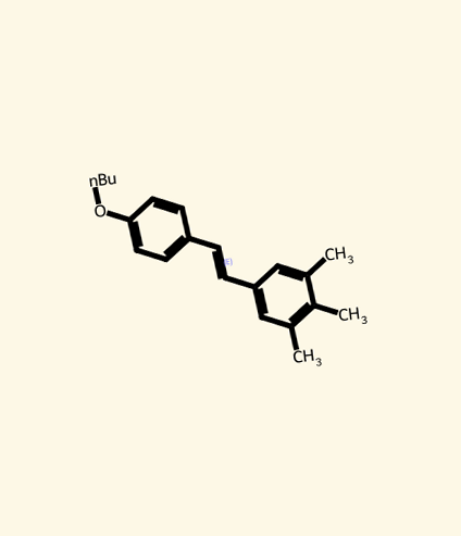 CCCCOc1ccc(/C=C/c2cc(C)c(C)c(C)c2)cc1